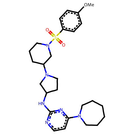 COc1ccc(S(=O)(=O)N2CCCC(N3CCC(Nc4nccc(N5CCCCCC5)n4)C3)C2)cc1